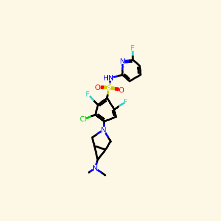 CN(C)C1C2CN(c3cc(F)c(S(=O)(=O)Nc4cccc(F)n4)c(F)c3Cl)CC21